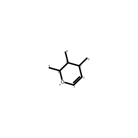 CC1C=COC(C)C1C